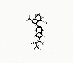 CC(C)n1cc(-c2ccc3nc(C(=O)NC4CC4)cn3c2)c2c(N)ncnc21